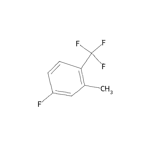 Cc1cc(F)ccc1C(F)(F)F